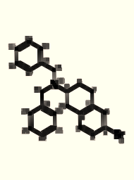 Brc1ccc2c(c1)CCC(N(Cc1ccccc1)Cc1ccccc1)C2